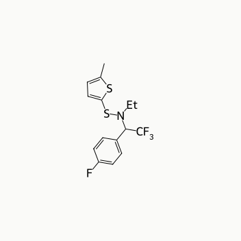 CCN(Sc1ccc(C)s1)C(c1ccc(F)cc1)C(F)(F)F